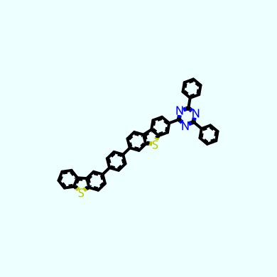 c1ccc(-c2nc(-c3ccccc3)nc(-c3ccc4c(c3)sc3cc(-c5ccc(-c6ccc7sc8ccccc8c7c6)cc5)ccc34)n2)cc1